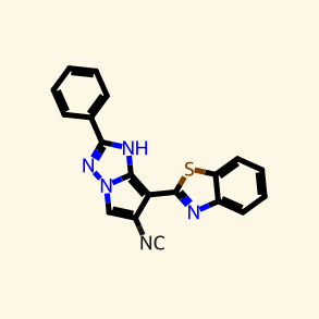 [C-]#[N+]c1cn2nc(-c3ccccc3)[nH]c2c1-c1nc2ccccc2s1